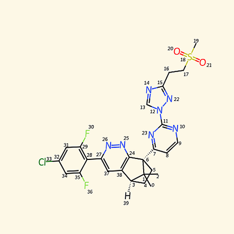 CC1(C)[C@H]2CC[C@]1(c1ccnc(-n3cnc(CCS(C)(=O)=O)n3)n1)c1nnc(-c3c(F)cc(Cl)cc3F)cc12